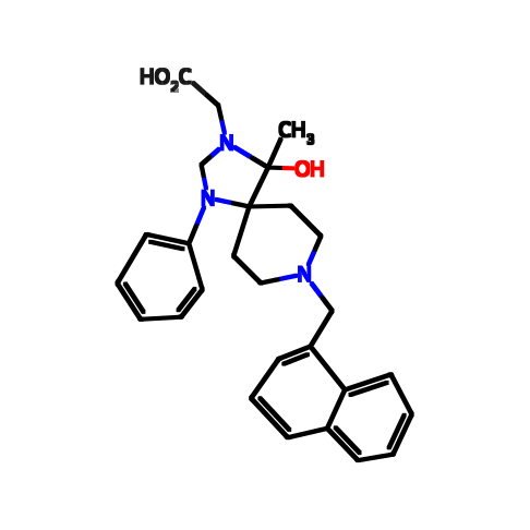 CC1(O)N(CC(=O)O)CN(c2ccccc2)C12CCN(Cc1cccc3ccccc13)CC2